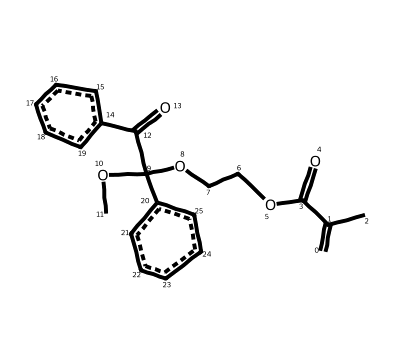 C=C(C)C(=O)OCCOC(OC)(C(=O)c1ccccc1)c1ccccc1